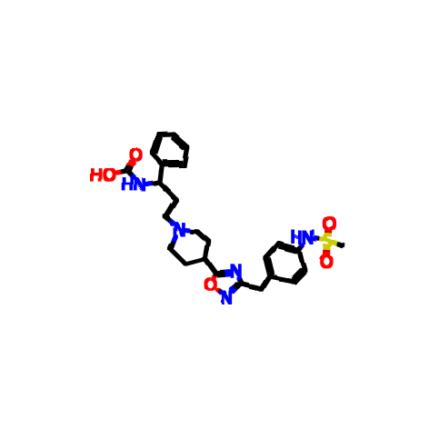 CS(=O)(=O)Nc1ccc(Cc2noc(C3CCN(CCC(NC(=O)O)c4ccccc4)CC3)n2)cc1